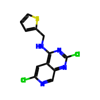 Clc1cc2c(NCc3cccs3)nc(Cl)nc2cn1